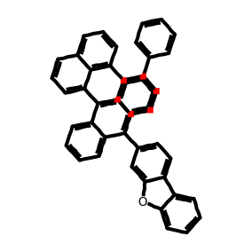 c1ccc(-c2ccccc2-c2cccc3cccc(-c4c5ccccc5c(-c5ccc6c(c5)oc5ccccc56)c5ccccc45)c23)cc1